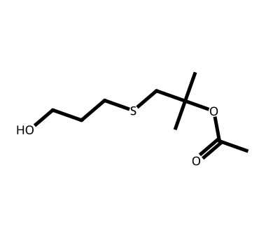 CC(=O)OC(C)(C)CSCCCO